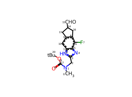 CN(Cc1nc2c(F)c3c(cc2[nH]1)CC(C=O)C3)C(=O)OC(C)(C)C